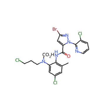 Cc1cc(Cl)cc(N(CCCCl)C(=O)O)c1NC(=O)c1cc(Br)nn1-c1ncccc1Cl